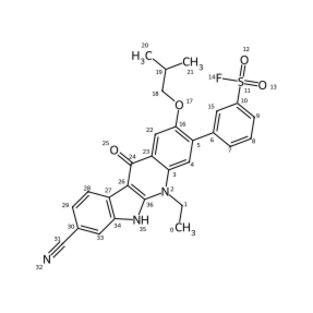 CCn1c2cc(-c3cccc(S(=O)(=O)F)c3)c(OCC(C)C)cc2c(=O)c2c3ccc(C#N)cc3[nH]c21